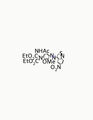 CCOC(=O)CN(CC(=O)OCC)c1cc(NC(C)=O)c(/N=N/C2=c3cc([N+](=O)[O-])ccc3=NSC2)cc1OC